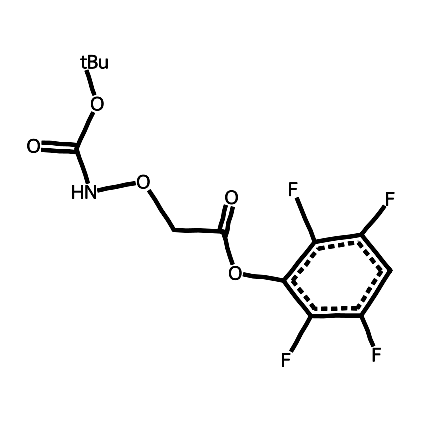 CC(C)(C)OC(=O)NOCC(=O)Oc1c(F)c(F)cc(F)c1F